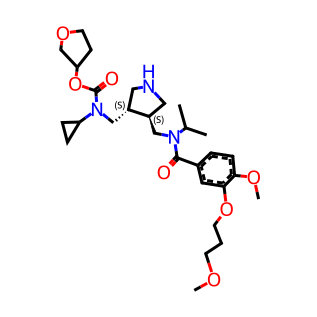 COCCCOc1cc(C(=O)N(C[C@@H]2CNC[C@H]2CN(C(=O)OC2CCOC2)C2CC2)C(C)C)ccc1OC